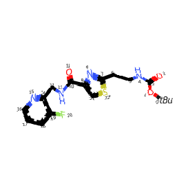 CC(C)(C)OC(=O)NCCc1nc(C(=O)NCc2ncccc2F)cs1